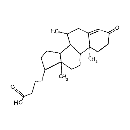 CC12CCC(=O)C=C1CC(O)C1C2CCC2(C)C(CCCC(=O)O)CCC12